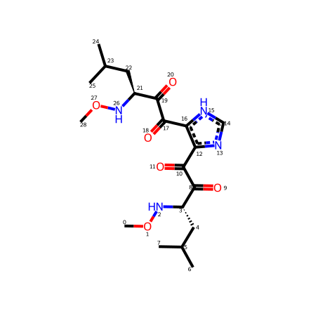 CON[C@@H](CC(C)C)C(=O)C(=O)c1nc[nH]c1C(=O)C(=O)[C@H](CC(C)C)NOC